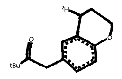 [2H]C1CCOc2ccc(CC(=O)C(C)(C)C)cc21